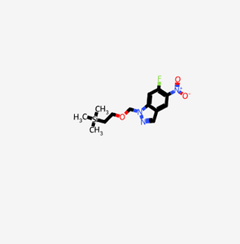 C[Si](C)(C)CCOCn1ncc2cc([N+](=O)[O-])c(F)cc21